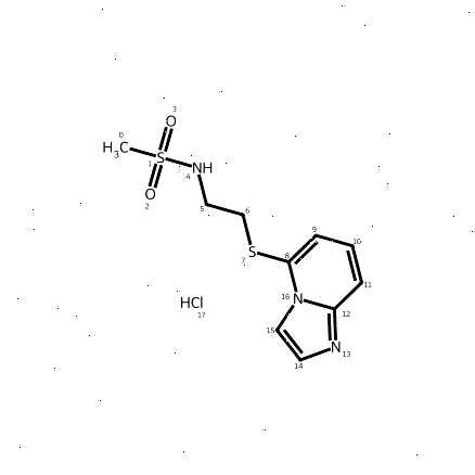 CS(=O)(=O)NCCSc1cccc2nccn12.Cl